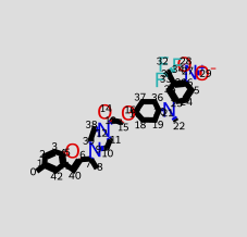 Cc1ccc2oc(C(C)N3CCN(C(=O)CO[C@H]4CC[C@H](N(C)c5ccc([N+](=O)[O-])c(C(F)(F)F)c5)CC4)CC3)cc2c1